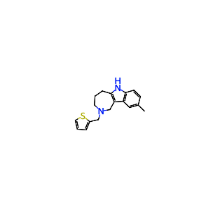 Cc1ccc2[nH]c3c(c2c1)CN(Cc1cccs1)CCC3